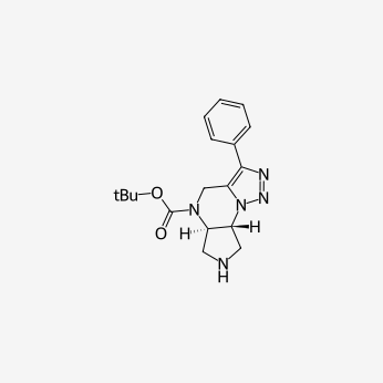 CC(C)(C)OC(=O)N1Cc2c(-c3ccccc3)nnn2[C@@H]2CNC[C@H]21